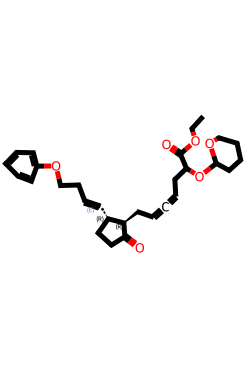 CCOC(=O)C(CC=C=CC[C@H]1C(=O)CC[C@@H]1/C=C/CCOc1ccccc1)OC1CCCCO1